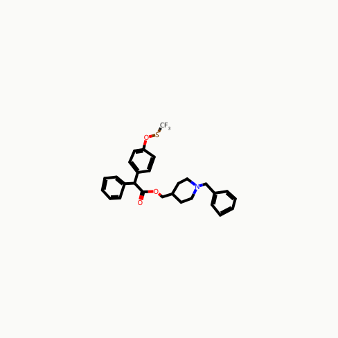 O=C(OCC1CCN(Cc2ccccc2)CC1)C(c1ccccc1)c1ccc(OSC(F)(F)F)cc1